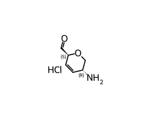 Cl.N[C@@H]1C=C[C@@H](C=O)OC1